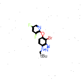 CC(C)(C)Cn1nnc2c(Br)c(Oc3ncc(F)cc3F)ccc21